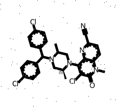 CC1CN(c2c(Cl)c(=O)n(C)c3ccc(C#N)nc23)[C@@H](C)CN1C(c1ccc(Cl)cc1)c1ccc(Cl)cc1